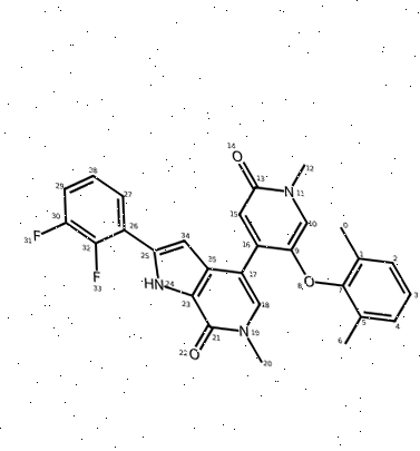 Cc1cccc(C)c1Oc1cn(C)c(=O)cc1-c1cn(C)c(=O)c2[nH]c(-c3cccc(F)c3F)cc12